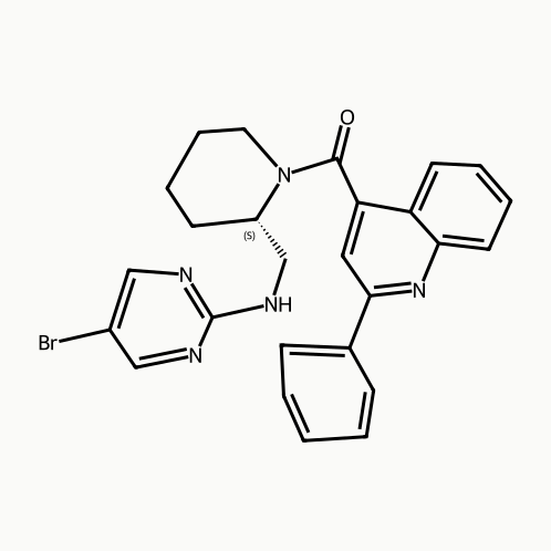 O=C(c1cc(-c2ccccc2)nc2ccccc12)N1CCCC[C@H]1CNc1ncc(Br)cn1